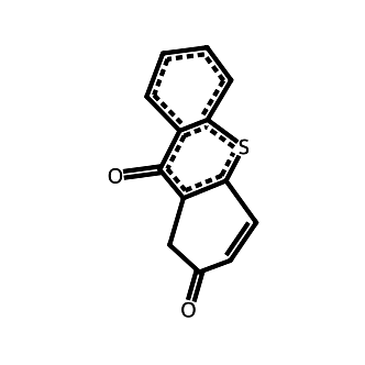 O=C1C=Cc2sc3ccccc3c(=O)c2C1